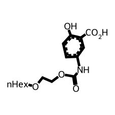 CCCCCCOCCOC(=O)Nc1ccc(O)c(C(=O)O)c1